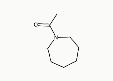 CC(=O)N1[CH]CCCCC1